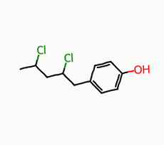 CC(Cl)CC(Cl)Cc1ccc(O)cc1